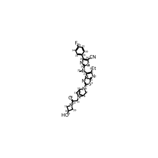 CCc1nc2sc(N3CC4CC3CN4CC(=O)N3CC(O)C3)nn2c1N(C)c1nc(-c2ccc(F)cc2)c(C#N)s1